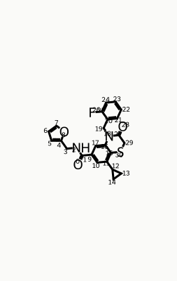 O=C(NCc1ccco1)c1cc(C2CC2)c2c(c1)N(Cc1ccccc1F)C(=O)CS2